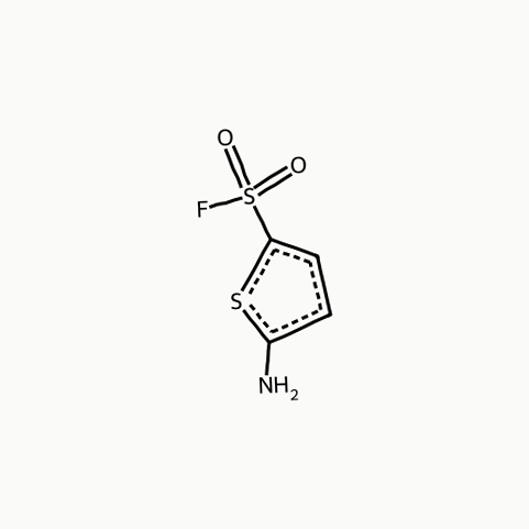 Nc1ccc(S(=O)(=O)F)s1